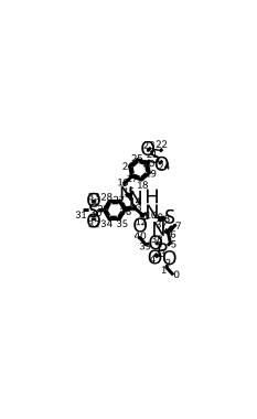 CCOP(=O)(Cc1csc(NC(=O)c2nn(Cc3ccc(S(C)(=O)=O)cc3)c3cc(S(C)(=O)=O)ccc23)n1)OCC